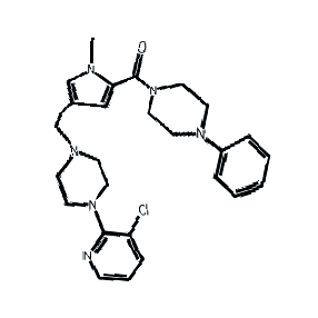 Cn1cc(CN2CCN(c3ncccc3Cl)CC2)cc1C(=O)N1CCN(c2ccccc2)CC1